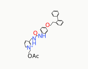 CC(=O)OCC[n+]1cccc(CNC(=O)Nc2ccc(OCCc3ccccc3-c3ccccc3)cc2)c1